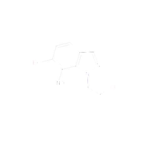 C[C@@H](O)Cn1ncc2ccc(O)c([N+](=O)[O-])c21